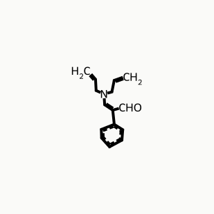 C=CCN(C=C(C=O)c1ccccc1)CC=C